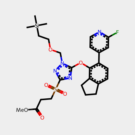 COC(=O)CCS(=O)(=O)c1nc(Oc2c(-c3ccnc(F)c3)ccc3c2CCC3)n(COCC[Si](C)(C)C)n1